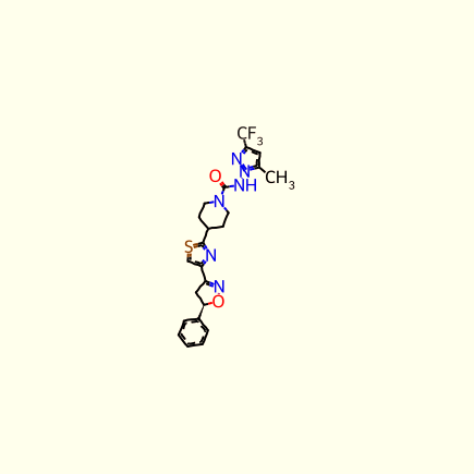 Cc1cc(C(F)(F)F)nn1NC(=O)N1CCC(c2nc(C3=NO[C@@H](c4ccccc4)C3)cs2)CC1